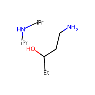 CC(C)NC(C)C.CCC(O)CCN